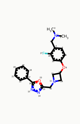 CN(C)Cc1ccc(OC2CN([C]c3nnc(-c4ccccc4)o3)C2)cc1F